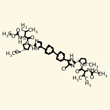 COC[C@H]1C[C@@H](c2ncc(-c3ccc(-c4ccc(-c5[nH]c([C@@H]6CC[C@H](C)N6C(=O)C(NC(=O)OC)C(C)C)nc5Cl)cc4)cc3)[nH]2)N(C(=O)[C@@H](NC(=O)OC)C(C)C)C1